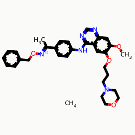 C.COc1cc2ncnc(Nc3ccc(/C(C)=N/OCc4ccccc4)cc3)c2cc1OCCCN1CCOCC1